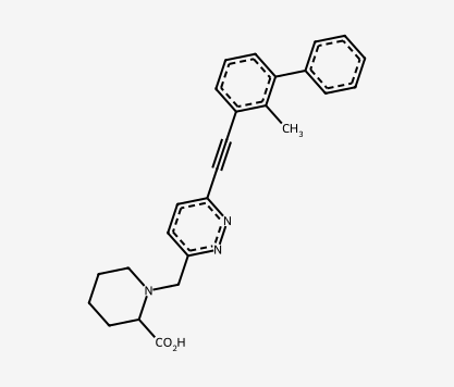 Cc1c(C#Cc2ccc(CN3CCCCC3C(=O)O)nn2)cccc1-c1ccccc1